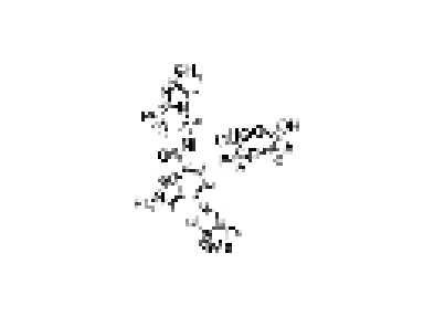 CCn1cc2c(N3C[C@H](F)[C@H](NC)C3)ccc(C(=O)Nc3cc(F)c4nc(C)cn4c3)c2n1.O=C(O)C(F)(F)F.O=C(O)C(F)(F)F